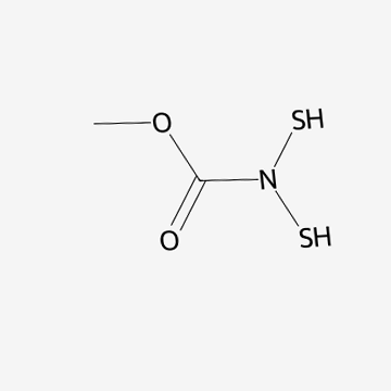 COC(=O)N(S)S